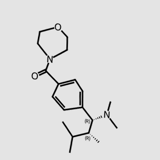 CC(C)[C@@H](C)[C@H](c1ccc(C(=O)N2CCOCC2)cc1)N(C)C